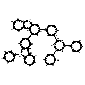 c1ccc(-c2nc(-c3ccccc3)nc(-c3cccc(-c4cc(-c5ccc6c(c5)c5ccccc5n6-c5ccccc5)c5c(c4)sc4ccccc45)c3)n2)cc1